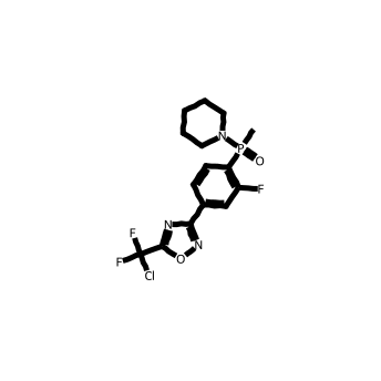 CP(=O)(c1ccc(-c2noc(C(F)(F)Cl)n2)cc1F)N1CCCCC1